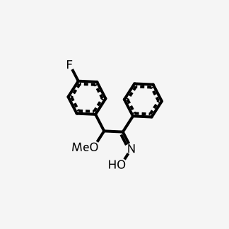 COC(C(=NO)c1ccccc1)c1ccc(F)cc1